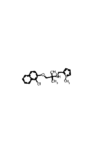 Cn1cccc1CNC(C)(C)COc1ccc2ccccc2c1Cl